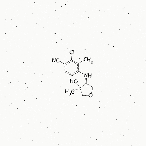 Cc1c(N[C@H]2COC[C@@]2(C)O)ccc(C#N)c1Cl